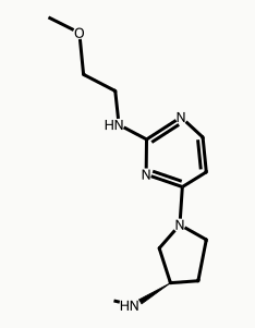 CN[C@@H]1CCN(c2ccnc(NCCOC)n2)C1